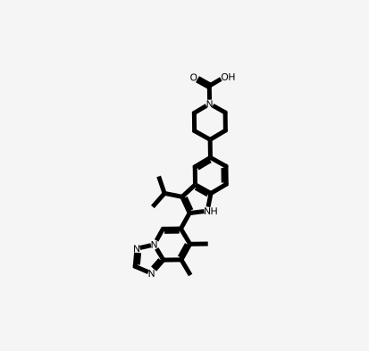 Cc1c(-c2[nH]c3ccc(C4CCN(C(=O)O)CC4)cc3c2C(C)C)cn2ncnc2c1C